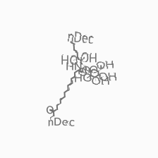 CCCCCCCCCCCCCC[C@@H](O)[C@@H](O)[C@H](CO[C@H]1O[C@H](CO)[C@H](O)[C@H](O)[C@H]1O)NC(=O)CCCCCCCCCCCCC(=O)CCCCCCCCCCCC